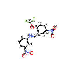 O=[N+]([O-])c1cccc(/N=C/c2cc([N+](=O)[O-])ccc2OC(F)F)c1